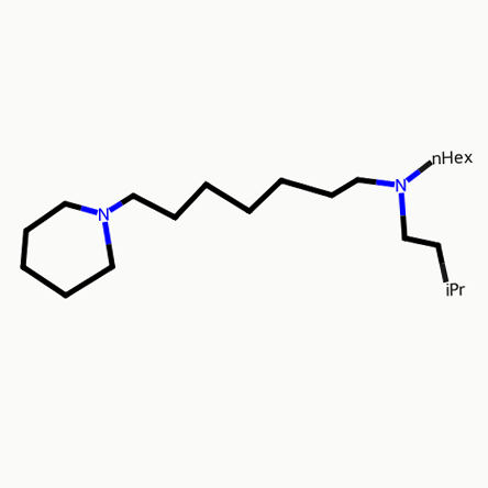 CCCCCCN(CCCCCCCN1CCCCC1)CCC(C)C